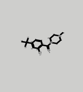 CN1CCN(C(=O)c2ccc(C(C)(C)C)cc2Cl)CC1